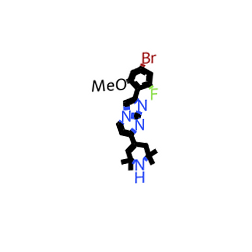 COc1cc(Br)cc(F)c1-c1cn2ccc(C3=CC(C)(C)NC(C)(C)C3)nc2n1